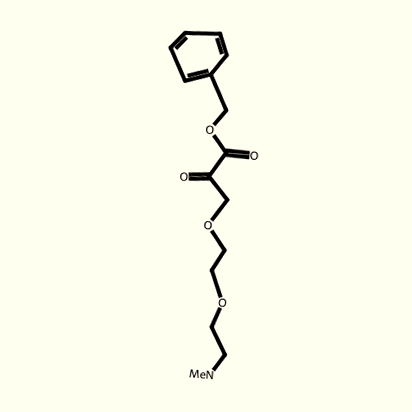 CNCCOCCOCC(=O)C(=O)OCc1ccccc1